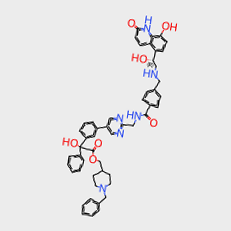 O=C(NCc1ncc(-c2cccc(C(O)(C(=O)OCC3CCN(Cc4ccccc4)CC3)c3ccccc3)c2)cn1)c1ccc(CNC[C@H](O)c2ccc(O)c3[nH]c(=O)ccc23)cc1